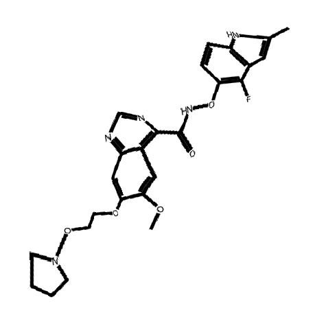 COc1cc2c(C(=O)NOc3ccc4[nH]c(C)cc4c3F)ncnc2cc1OCCON1CCCC1